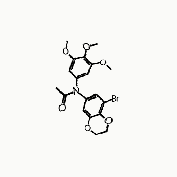 COc1cc(N(C(C)=O)c2cc(Br)c3c(c2)OCCO3)cc(OC)c1OC